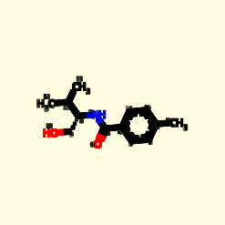 Cc1ccc(C(=O)N[C@H](CO)C(C)C)cc1